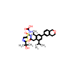 CC(C)c1cc(-c2ccc3c(c2)CCOC3)cc(C(C)C)c1CC(=O)N=S(=O)(NC(=O)O)c1cnc(C(C)(C)O)s1